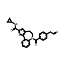 O=CCc1ccc(C(=O)N2CCc3cc(C(=O)NC4CC4)sc3-c3ccccc32)cc1